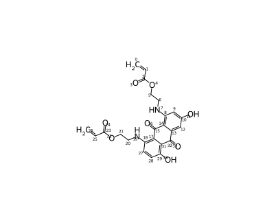 C=CC(=O)OCCNc1cc(O)cc2c1C(=O)c1c(NCCOC(=O)C=C)ccc(O)c1C2=O